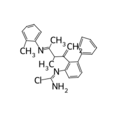 C=C(c1c(/N=C(\N)Cl)cccc1-c1ccccc1)C(C)/C(C)=N/c1ccccc1C